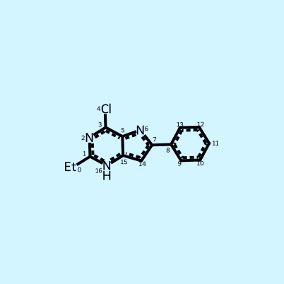 CCc1nc(Cl)c2nc(-c3ccccc3)cc-2[nH]1